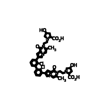 Cc1cn2cc(-c3cccc(-c4cccc(-c5cc6c(=O)n(CCN7CC(O)CC7C(=O)O)c(C)cn6c5)c4Cl)c3Cl)cc2c(=O)n1CCN1CC(O)CC1C(=O)O